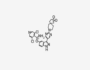 N[C@@H](Oc1ccc2[nH]nc(-c3cnc(N4CCC5(CC4)CCS(=O)(=O)C5)nc3)c2c1)c1c(Cl)cncc1Cl